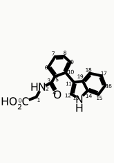 O=C(O)CNC(=O)c1ccccc1-c1c[nH]c2ccccc12